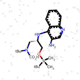 CC(C)(C)N(C[C@@H](CO[Si](C)(C)C(C)(C)C)Nc1c(N)cnc2ccccc12)C(=O)O